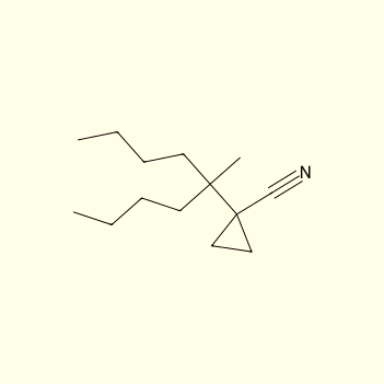 CCCCC(C)(CCCC)C1(C#N)CC1